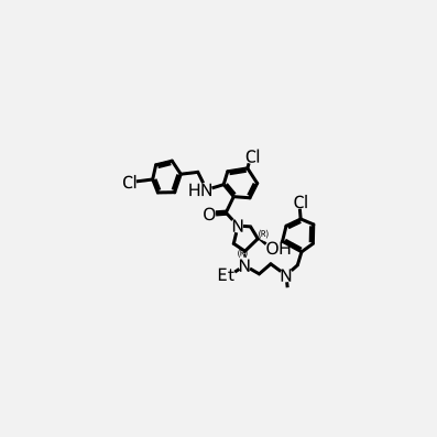 CCN(CCN(C)Cc1ccc(Cl)cc1)[C@@H]1CN(C(=O)c2ccc(Cl)cc2NCc2ccc(Cl)cc2)C[C@H]1O